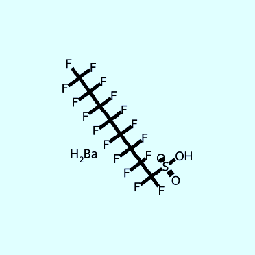 O=S(=O)(O)C(F)(F)C(F)(F)C(F)(F)C(F)(F)C(F)(F)C(F)(F)C(F)(F)C(F)(F)F.[BaH2]